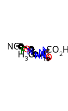 CC1(c2cccc(OCc3ccc(C#N)cc3F)n2)CCN(Cc2nc3nc(C(=O)O)sc3n2C[C@@H]2CCO2)CC1